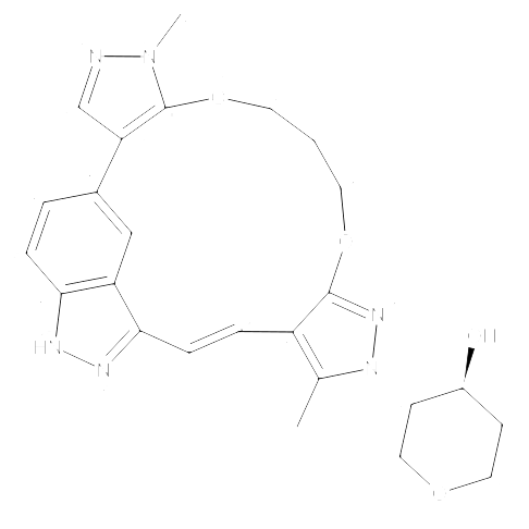 Cc1c2c(nn1[C@H]1COCC[C@@H]1O)OCCCOc1c(cnn1C)-c1ccc3[nH]nc(c3c1)/C=C/2